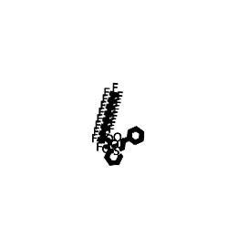 O=C(CS1(OS(=O)(=O)C(F)(F)C(F)(F)C(F)(F)C(F)(F)C(F)(F)C(F)(F)C(F)(F)C(F)(F)F)CCCCC1)C1CCCCC1